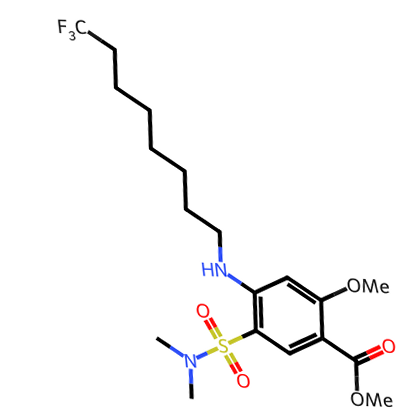 COC(=O)c1cc(S(=O)(=O)N(C)C)c(NCCCCCCCC(F)(F)F)cc1OC